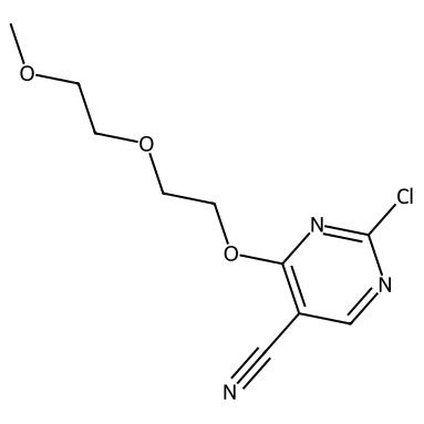 COCCOCCOc1nc(Cl)ncc1C#N